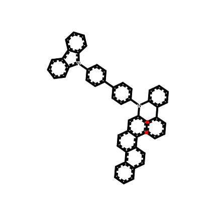 c1ccc(-c2ccccc2N(c2ccc(-c3ccc(-n4c5ccccc5c5ccccc54)cc3)cc2)c2ccc3c(ccc4c5ccccc5ccc34)c2)cc1